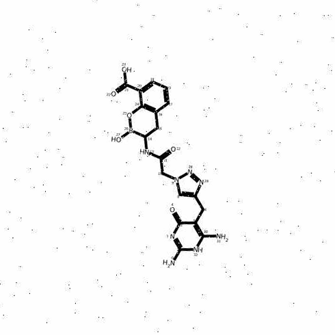 Nc1nc(=O)c(Cc2cn(CC(=O)NC3Cc4cccc(C(=O)O)c4OB3O)nn2)c(N)[nH]1